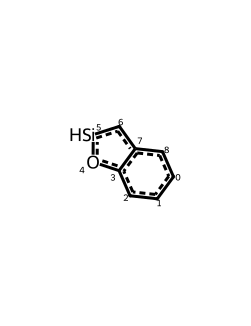 c1ccc2o[siH]cc2c1